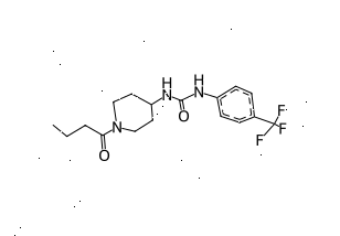 CCCC(=O)N1CCC(NC(=O)Nc2ccc(C(F)(F)F)cc2)CC1